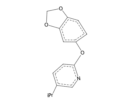 CC(C)c1ccc(Oc2ccc3c(c2)OCO3)nc1